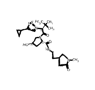 CN1CC(CCNC(=O)[C@@H]2C[C@@H](O)CN2C(=O)[C@@H](n2cc(C3CC3)nn2)C(C)(C)C)CC1=O